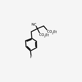 CCOC(=O)CC(C#N)(Cc1ccc(F)cc1)C(=O)OCC